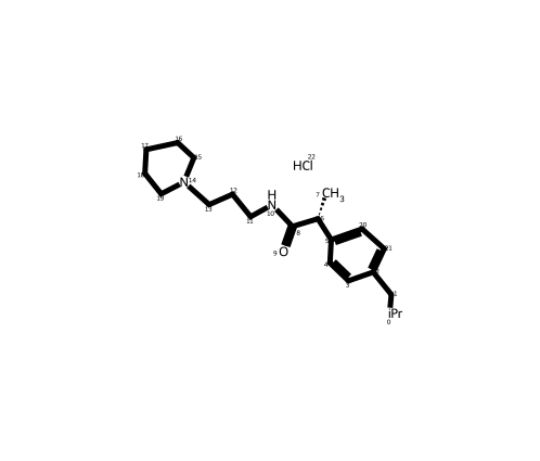 CC(C)Cc1ccc([C@@H](C)C(=O)NCCCN2CCCCC2)cc1.Cl